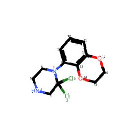 ClC1(Cl)CNCCN1c1cccc2c1OCCO2